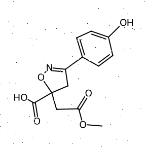 COC(=O)CC1(C(=O)O)CC(c2ccc(O)cc2)=NO1